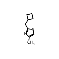 Cc1csc(CC2CCC2)n1